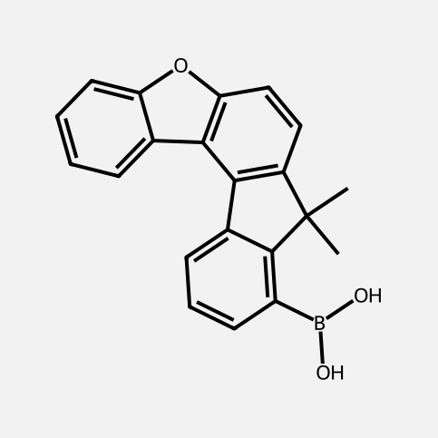 CC1(C)c2ccc3oc4ccccc4c3c2-c2cccc(B(O)O)c21